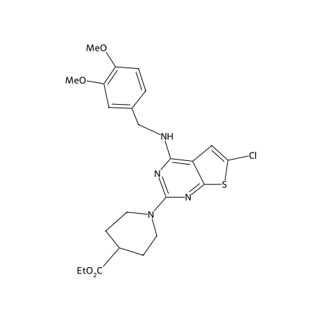 CCOC(=O)C1CCN(c2nc(NCc3ccc(OC)c(OC)c3)c3cc(Cl)sc3n2)CC1